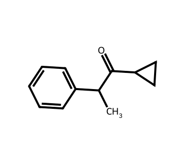 CC(C(=O)C1CC1)c1ccccc1